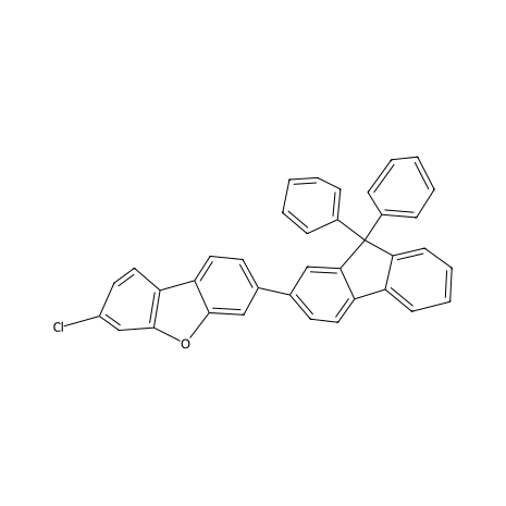 Clc1ccc2c(c1)oc1cc(-c3ccc4c(c3)C(c3ccccc3)(c3ccccc3)c3ccccc3-4)ccc12